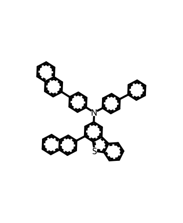 c1ccc(-c2ccc(N(c3ccc(-c4ccc5ccccc5c4)cc3)c3cc(-c4ccc5ccccc5c4)c4sc5ccccc5c4c3)cc2)cc1